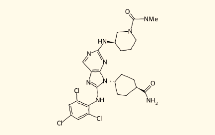 CNC(=O)N1CCC[C@@H](Nc2ncc3nc(Nc4c(Cl)cc(Cl)cc4Cl)n([C@H]4CC[C@H](C(N)=O)CC4)c3n2)C1